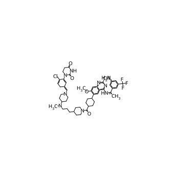 COc1cc2nc(C)nc(N[C@H](C)c3cc(N)cc(C(F)(F)F)c3)c2cc1C1CCC(C(=O)N2CCC(CCCN(C)C3CCN(C=C4C=C(N5CCC(=O)NC5=O)C(Cl)=CC4)CC3)CC2)CC1